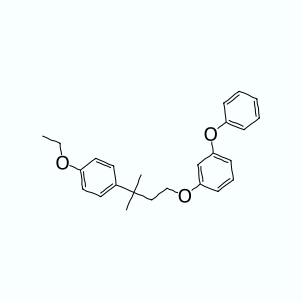 CCOc1ccc(C(C)(C)CCOc2cccc(Oc3ccccc3)c2)cc1